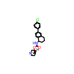 O=C(NC1CCCc2cc(-c3ccc(Cl)cc3)ccc21)O[C@H]1CN2CCC1CC2